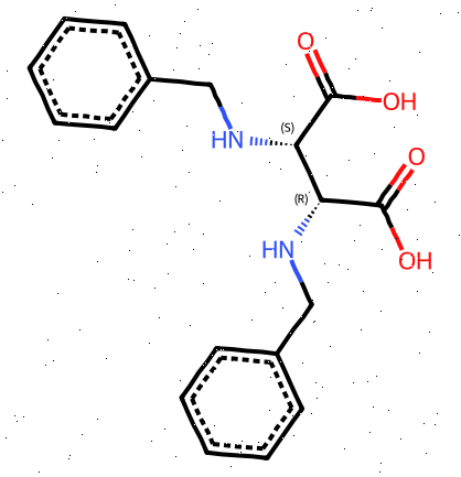 O=C(O)[C@@H](NCc1ccccc1)[C@@H](NCc1ccccc1)C(=O)O